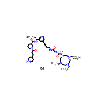 C[C@@H](C(=O)NCC(=O)NCCC#Cc1cncc([C@H](CC(=O)O)NC(=O)[C@@H]2CCCN(C(=O)CCC3CCNCC3)C2)c1)N1CCN(CC(=O)O)CCN(CC(=O)O)CCN(CC(=O)O)CC1.[Gd]